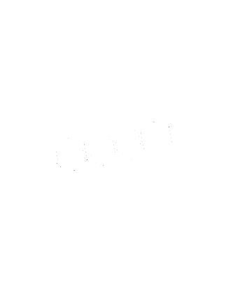 CC(=Cc1ccc(Cc2cccnc2)cc1)CCl.Cl